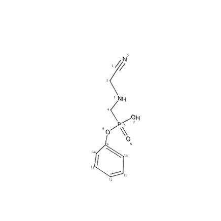 N#CCNCP(=O)(O)Oc1ccccc1